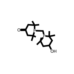 CC1(C)CC(=O)CC(C)(C)P1CP1C(C)(C)CC(O)CC1(C)C